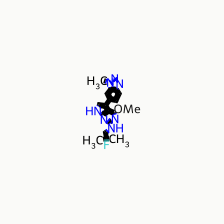 COc1nc(NCC(C)(C)F)nc2[nH]cc(-c3ccc4nnn(C)c4c3)c12